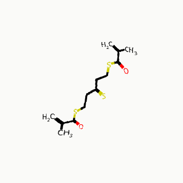 C=C(C)C(=O)SCCC(=S)CCSC(=O)C(=C)C